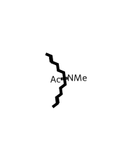 CC=CCCCC(CCCC=CC)(NC)C(C)=O